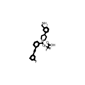 NCc1cccc(C2CCN(C(=O)c3cccc(C#Cc4cccc(F)c4)c3)CC2)c1.O=C(O)C(F)(F)F